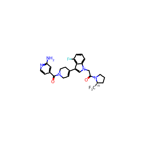 Nc1cc(C(=O)N2CC=C(c3cn(CC(=O)N4CCC[C@H]4C(F)(F)F)c4cccc(F)c34)CC2)ccn1